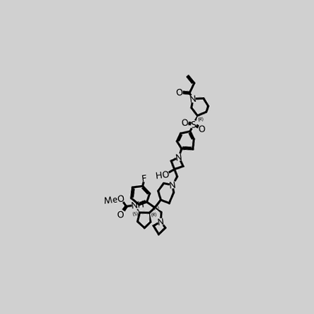 C=CC(=O)N1CCC[C@@H](S(=O)(=O)c2ccc(N3CC(O)(CN4CCC([C@@](CN5CCC5)(c5cccc(F)c5)[C@H]5CCC[C@@H]5NC(=O)OC)CC4)C3)cc2)C1